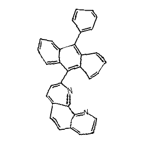 c1ccc(-c2c3ccccc3c(-c3ccc4ccc5cccnc5c4n3)c3ccccc23)cc1